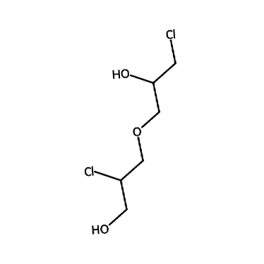 OCC(Cl)COCC(O)CCl